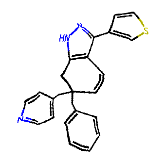 C1=CC(c2ccccc2)(c2ccncc2)Cc2[nH]nc(-c3ccsc3)c21